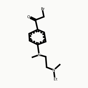 CCN(C)CCN(C)c1ccc(C(=O)CBr)cc1